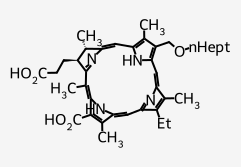 CCCCCCCOCc1c(C)c2cc3nc(c(C)c4[nH]c(cc5nc(cc1[nH]2)C(C)=C5CC)c(C)c4C(=O)O)[C@@H](CCC(=O)O)[C@@H]3C